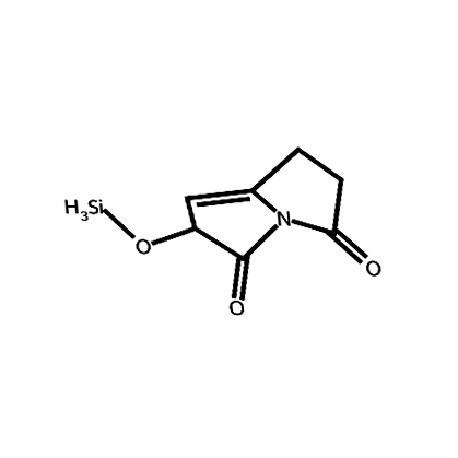 O=C1CCC2=CC(O[SiH3])C(=O)N12